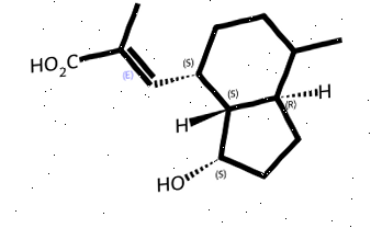 C/C(=C\[C@@H]1CCC(C)[C@H]2CC[C@H](O)[C@H]12)C(=O)O